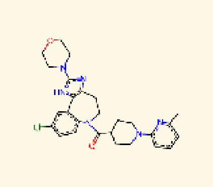 Cc1cccc(N2CCC(C(=O)N3CCc4nc(N5CCOCC5)[nH]c4-c4cc(Cl)ccc43)CC2)n1